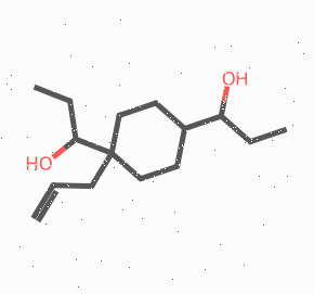 C=CCC1(C(O)CC)CCC(C(O)CC)CC1